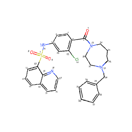 O=C(c1ccc(NS(=O)(=O)c2cccc3cccnc23)cc1Cl)N1CCCN(Cc2ccccc2)CC1